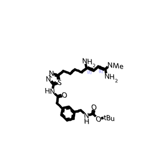 CN/C(N)=C/C=C(\N)CCCCc1nnc(NC(=O)Cc2cccc(CNC(=O)OC(C)(C)C)c2)s1